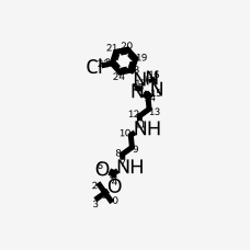 CC(C)(C)OC(=O)NCCCNCCc1nnn(-c2cccc(Cl)c2)n1